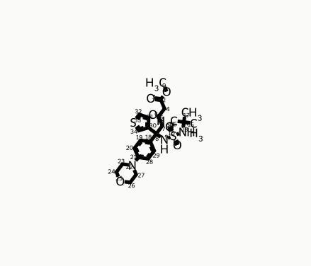 COC(=O)CC(=O)CC(NS(=O)(=O)NC(C)(C)C)(c1ccc(N2CCOCC2)cc1)c1ccsc1